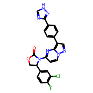 O=C1OCC(c2ccc(F)c(Cl)c2)N1c1ccn2ncc(-c3ccc(-c4nc[nH]n4)cc3)c2n1